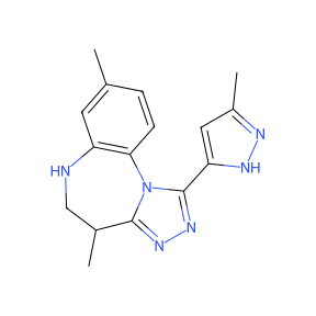 Cc1ccc2c(c1)NCC(C)c1nnc(-c3cc(C)n[nH]3)n1-2